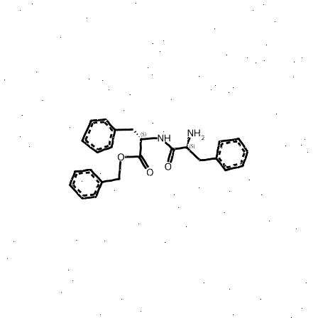 N[C@@H](Cc1ccccc1)C(=O)N[C@@H](Cc1ccccc1)C(=O)OCc1ccccc1